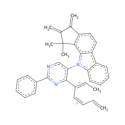 C=C/C=C\C(=C/C)c1nc(-c2ccccc2)ncc1-n1c2ccccc2c2ccc3c(c21)C(C)(C)C(=C)C3=C